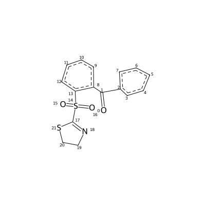 O=C(c1ccccc1)c1ccccc1S(=O)(=O)C1=NCCS1